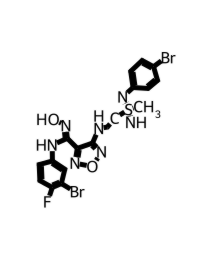 CS(=N)(CCNc1nonc1/C(=N/O)Nc1ccc(F)c(Br)c1)=Nc1ccc(Br)cc1